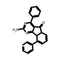 Nc1nc(-c2ccccc2)c2c(n1)C1C(C3=CI=CC=C3)=CC=CC1C2=O